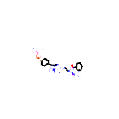 NOOSc1ccc(-c2cn(CCn3c(=O)[nH]c4ccccc4c3=O)nn2)cc1